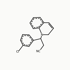 N#CCC(c1cccc(Cl)c1)N1CC=Cc2ccccc21